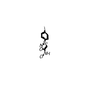 ClNc1c[n+](-c2ccc(I)cc2)no1